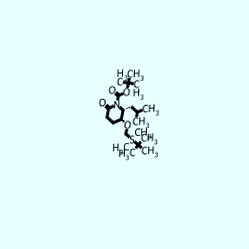 CC(C)C[C@@H]1[C@@H](OCS(C)(C)C(C)(C)C)CCC(=O)N1C(=O)OC(C)(C)C